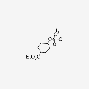 CCOC(=O)C1CC=C(OS(C)(=O)=O)CC1